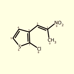 C/C(=C\c1ccsc1Cl)[N+](=O)[O-]